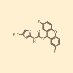 O=C(Nc1nc(C(F)(F)F)co1)OC1c2cc(F)ccc2Oc2ccc(F)cc21